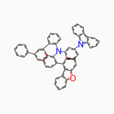 c1ccc(-c2cccc(-c3ccccc3N(c3cccc(-n4c5ccccc5c5ccccc54)c3)c3ccccc3-c3cccc4oc5ccccc5c34)c2)cc1